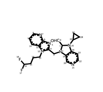 O=CC1N(Cc2nc3ncccc3n2CCCC(F)F)c2cnccc2N1C1CC1